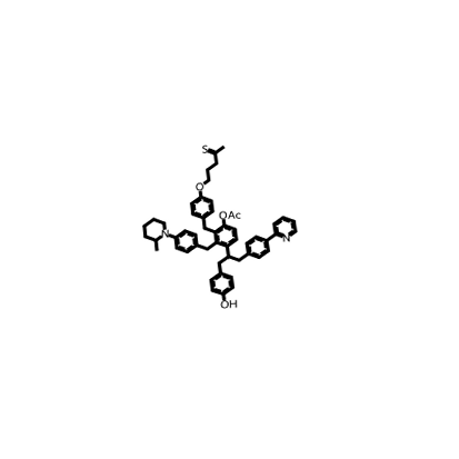 CC(=O)Oc1ccc([C](Cc2ccc(O)cc2)Cc2ccc(-c3ccccn3)cc2)c(Cc2ccc(N3CCCCC3C)cc2)c1Cc1ccc(OCCCC(C)=S)cc1